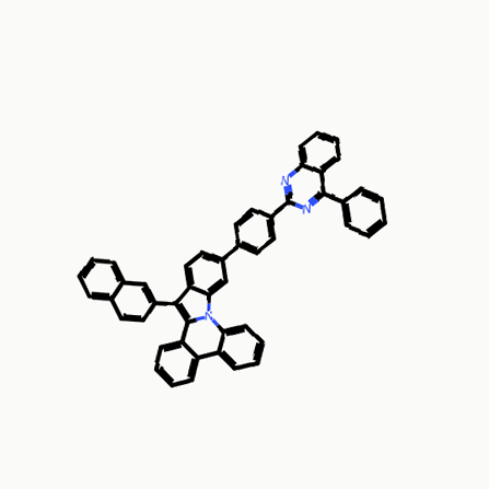 c1ccc(-c2nc(-c3ccc(-c4ccc5c(-c6ccc7ccccc7c6)c6c7ccccc7c7ccccc7n6c5c4)cc3)nc3ccccc23)cc1